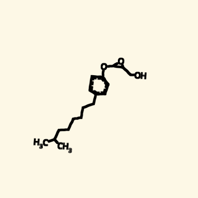 CC(C)CCCCCCc1ccc(OC2OC2CO)cc1